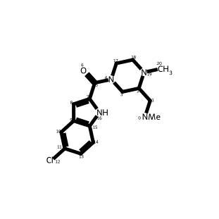 CNCC1CN(C(=O)c2cc3cc(Cl)ccc3[nH]2)CCN1C